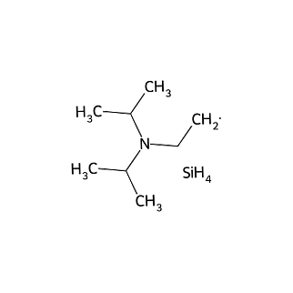 [CH2]CN(C(C)C)C(C)C.[SiH4]